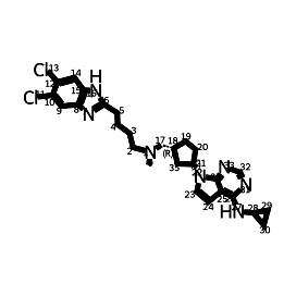 CN(CCCCc1nc2cc(Cl)c(Cl)cc2[nH]1)C[C@@H]1CC[C@H](n2ccc3c(NC4CC4)ncnc32)C1